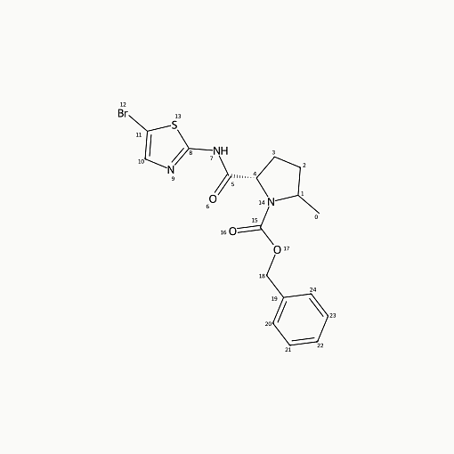 CC1CC[C@@H](C(=O)Nc2ncc(Br)s2)N1C(=O)OCc1ccccc1